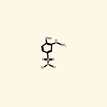 CCN(CC)S(=O)(=O)c1ccc(OC)c(NN)c1